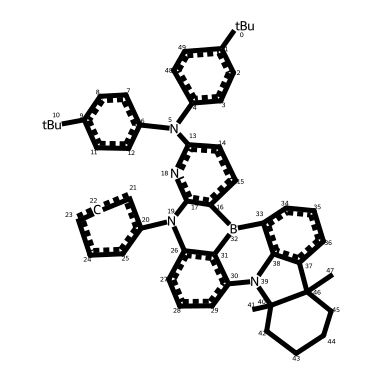 CC(C)(C)c1ccc(N(c2ccc(C(C)(C)C)cc2)c2ccc3c(n2)N(c2ccccc2)c2cccc4c2B3c2cccc3c2N4C2(C)CCCCC32C)cc1